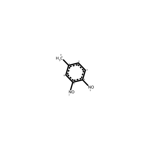 Cc1ccc(N=O)c(N=O)c1